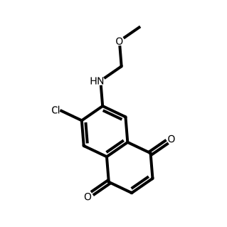 COCNc1cc2c(cc1Cl)C(=O)C=CC2=O